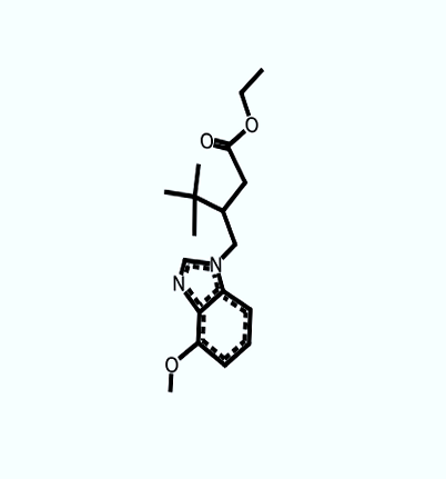 CCOC(=O)CC(Cn1cnc2c(OC)cccc21)C(C)(C)C